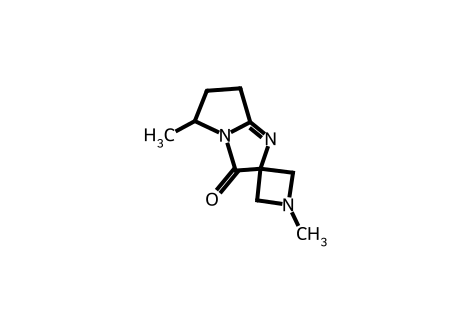 CC1CCC2=NC3(CN(C)C3)C(=O)N21